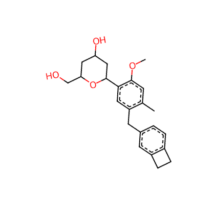 COc1cc(C)c(Cc2ccc3c(c2)CC3)cc1C1CC(O)CC(CO)O1